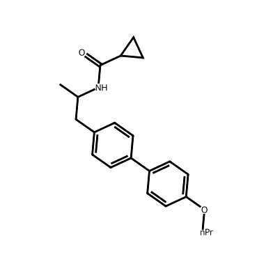 CCCOc1ccc(-c2ccc(CC(C)NC(=O)C3CC3)cc2)cc1